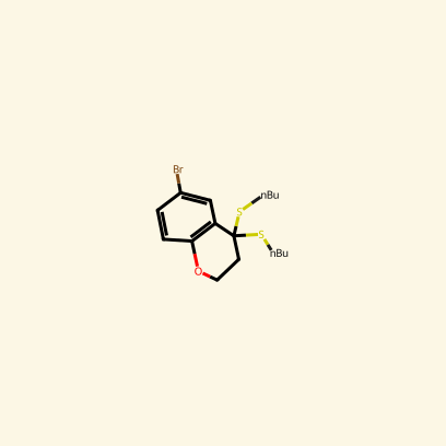 CCCCSC1(SCCCC)CCOc2ccc(Br)cc21